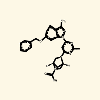 Cc1nc(N2C[C@@H]3C[C@H]2CN3C(=O)O)cc(-n2nc(N)c3ccc(OCc4ccccc4)cc32)n1